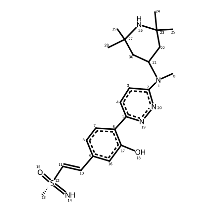 CN(c1ccc(-c2ccc(/C=C/[S@@](C)(=N)=O)cc2O)nn1)C1CC(C)(C)NC(C)(C)C1